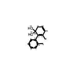 CC1=C(c2ccccc2C)C(O)(O)CC=C1